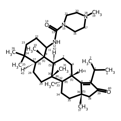 CC(C)C1=C2[C@H]3CC[C@@H]4[C@@]5(C)C(NC(=O)N6CCN(C)CC6)CCC(C)(C)[C@@H]5CC[C@@]4(C)[C@]3(C)CC[C@@]2(C)CC1=O